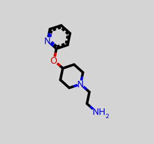 NCCN1CCC(Oc2ccccn2)CC1